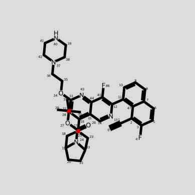 C#Cc1c(F)ccc2cccc(-c3ncc4c(N5CC6CCC(C5)N6C(=O)OC(C)(C)C)nc(OCCN5CCNCC5)nc4c3F)c12